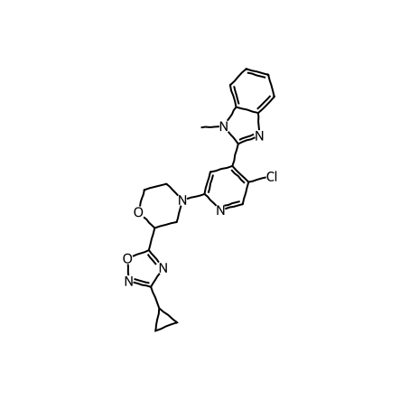 Cn1c(-c2cc(N3CCOC(c4nc(C5CC5)no4)C3)ncc2Cl)nc2ccccc21